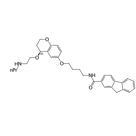 CCCNCCO[C@H]1CCOc2ccc(OCCCCNC(=O)c3ccc4c(c3)Cc3ccccc3-4)cc21